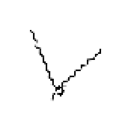 CCCCCCCCCCCCCCCc1n(CC)cc[n+]1CCCCCCCCCCCCC